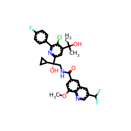 COc1cc(C(=O)NC[C@](O)(c2cc(C(C)(C)O)c(Cl)c(-c3ccc(F)cc3)n2)C2CC2)cc2cc(C(F)F)cnc12